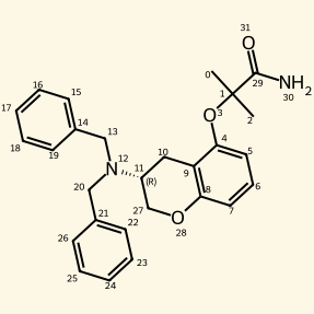 CC(C)(Oc1cccc2c1C[C@@H](N(Cc1ccccc1)Cc1ccccc1)CO2)C(N)=O